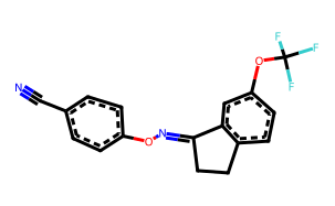 N#Cc1ccc(ON=C2CCc3ccc(OC(F)(F)F)cc32)cc1